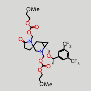 COCCOC(=O)OCN1C(=O)CC[C@]12CC1C[C@@]1(CO[C@H](C)c1cc(C(F)(F)F)cc(C(F)(F)F)c1)N(COC(=O)OCCOC)C2